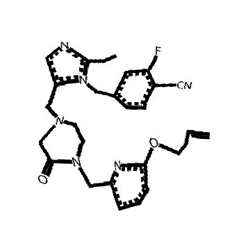 C=CCOc1cccc(CN2CCN(Cc3cnc(C)n3Cc3ccc(C#N)c(F)c3)CC2=O)n1